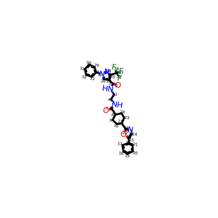 O=C(NCCNC(=O)C1CCC(c2ncc(-c3ccccc3)o2)CC1)c1cn(-c2ccccc2)nc1C(F)(F)F